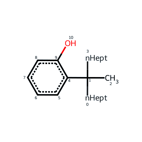 CCCCCCCC(C)(CCCCCCC)c1ccccc1O